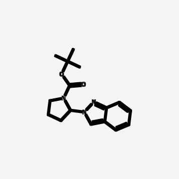 CC(C)(C)OC(=O)N1CCCC1n1cc2ccccc2n1